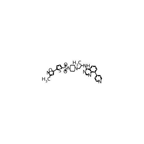 Cc1cc(-c2ccc(S(=O)(=O)N3CCN(CC(C)Nc4ncnc5c(-c6ccncc6)cccc45)CC3)s2)on1